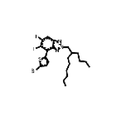 CCCCCCC(CCCC)Cn1nc2cc(F)c(F)c(-c3ccc(Br)s3)c2n1